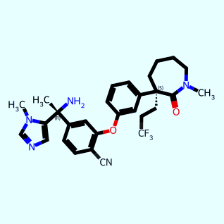 CN1CCCC[C@](CCC(F)(F)F)(c2cccc(Oc3cc([C@@](C)(N)c4cncn4C)ccc3C#N)c2)C1=O